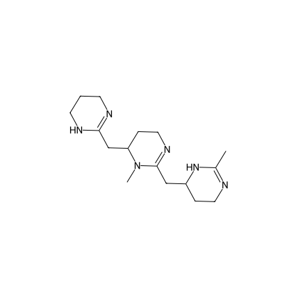 CC1=NCCC(CC2=NCCC(CC3=NCCCN3)N2C)N1